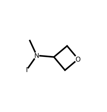 CN(I)C1COC1